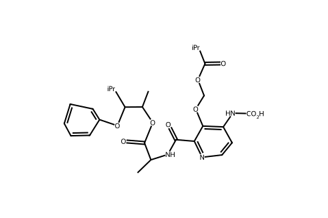 CC(C)C(=O)OCOc1c(NC(=O)O)ccnc1C(=O)NC(C)C(=O)OC(C)C(Oc1ccccc1)C(C)C